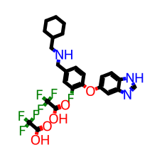 Fc1cc(CNCC2CCCCC2)ccc1Oc1ccc2[nH]cnc2c1.O=C(O)C(F)(F)F.O=C(O)C(F)(F)F